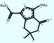 COC(=O)c1sc(SC)c2c1CC(C)(C)CC2=O